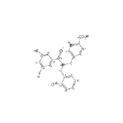 O=C(O)c1ncc(CN(Cc2ccccc2Cl)C(=O)c2cc(F)cc(F)c2)cn1